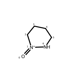 O=[N+]1CCCCN1